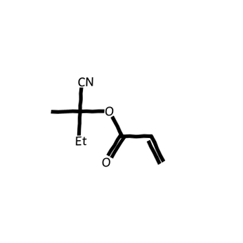 C=CC(=O)OC(C)(C#N)CC